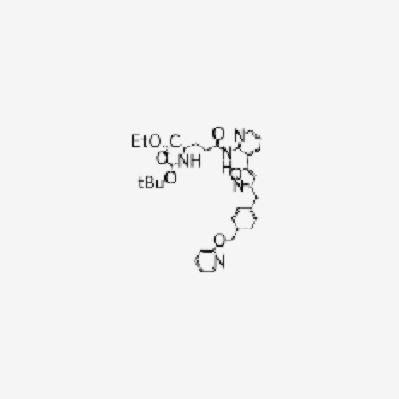 CCOC(=O)[C@H](CCC(=O)Nc1ncccc1-c1cc(Cc2ccc(COc3ccccn3)cc2)no1)NC(=O)OC(C)(C)C